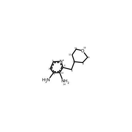 Nc1ccnc(CC2CCOCC2)c1N